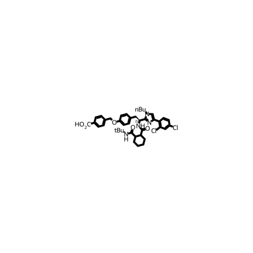 CCCCn1cc(-c2ccc(Cl)cc2Cl)nc1[C@H](Cc1ccc(OCc2ccc(C(=O)O)cc2)cc1)NC(=O)C1CCCCC1C(=O)NC(C)(C)C